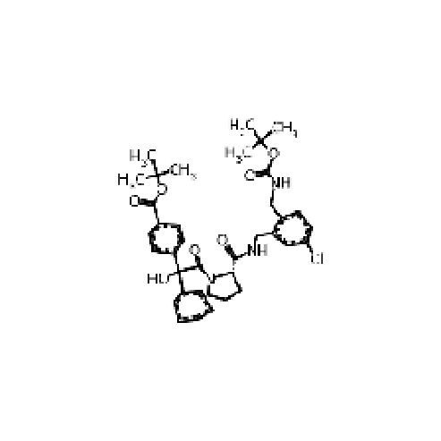 CC(C)(C)OC(=O)NCc1ccc(Cl)cc1CNC(=O)[C@@H]1CCCN1C(=O)C(O)(c1ccccc1)c1ccc(C(=O)OC(C)(C)C)cc1